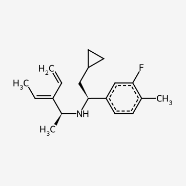 C=C/C(=C\C)[C@H](C)N[C@@H](CC1CC1)c1ccc(C)c(F)c1